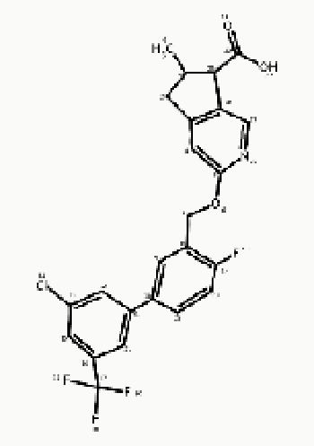 CC1Cc2cc(OCc3cc(-c4cc(Cl)cc(C(F)(F)F)c4)ccc3F)ncc2C1C(=O)O